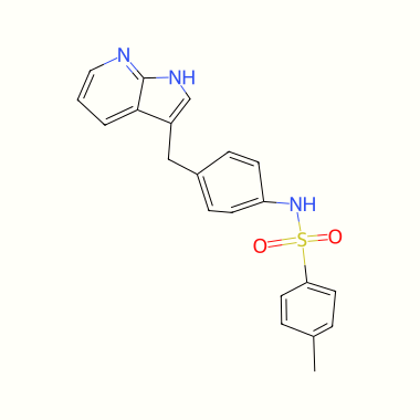 Cc1ccc(S(=O)(=O)Nc2ccc(Cc3c[nH]c4ncccc34)cc2)cc1